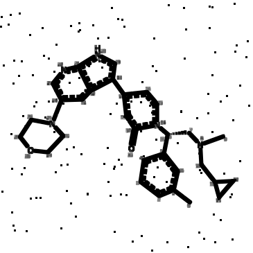 Cc1cccc([C@@H](CN(C)CC2CC2)n2ccc(-c3c[nH]c4ncc(N5CCOCC5)cc34)cc2=O)c1